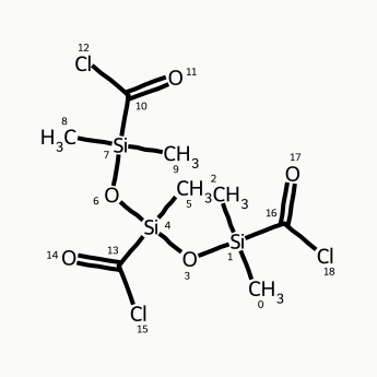 C[Si](C)(O[Si](C)(O[Si](C)(C)C(=O)Cl)C(=O)Cl)C(=O)Cl